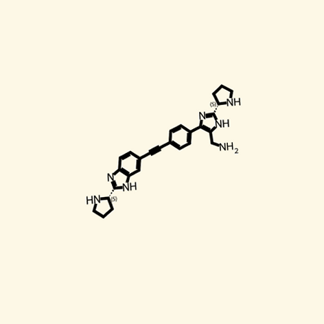 NCc1[nH]c([C@@H]2CCCN2)nc1-c1ccc(C#Cc2ccc3nc([C@@H]4CCCN4)[nH]c3c2)cc1